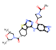 C[C@@H]1CN(C(=O)[C@H]2CCc3c(sc4ncnc(Nc5cc6cn[nH]c6cc5OC5CN(C(=O)OC(C)(C)C)C5)c34)C2)C[C@H](C)O1